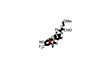 CCC(/N=c1/c(F)cc(N(C(=S)N(C)c2ccc(C#N)c(C(F)(F)F)c2)C(C)(C)C=O)cn1C)=C(/C=O)OCCOC